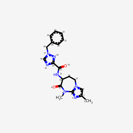 Cc1cn2c(n1)N(C)C(=O)C(NC(=O)c1ncn(Cc3ccccc3)n1)CC2